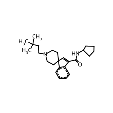 CC(C)(C)CCN1CCC2(C=C(C(=O)NC3CCCC3)c3ccccc32)CC1